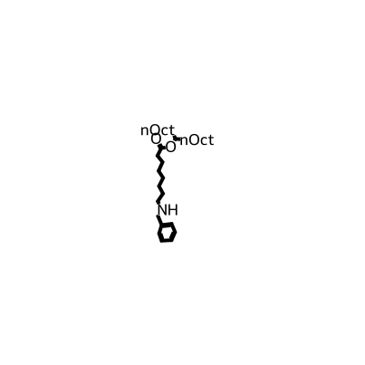 CCCCCCCCC(CCCCCCCC)OC(=O)CCCCCCCNCc1ccccc1